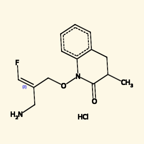 CC1Cc2ccccc2N(OC/C(=C\F)CN)C1=O.Cl